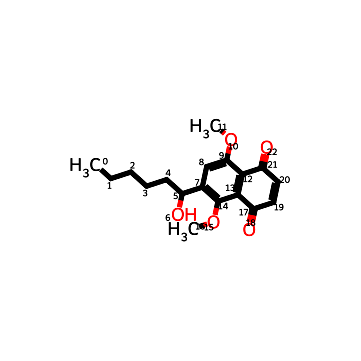 CCCCCC(O)c1cc(OC)c2c(c1OC)C(=O)C=CC2=O